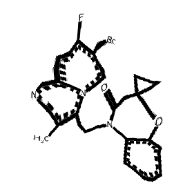 Cc1nc2cc(F)c(Br)cn2c1CN1C(=O)C2(CC2)Oc2ccccc21